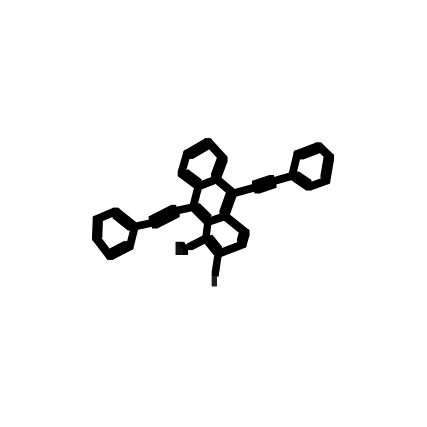 Brc1c(I)ccc2c(C#Cc3ccccc3)c3ccccc3c(C#Cc3ccccc3)c12